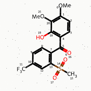 COc1ccc(C(=O)c2ccc(C(F)(F)F)cc2S(C)(=O)=O)c(O)c1OC